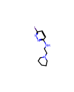 Ic1ccc(NCCN2CCCCC2)nn1